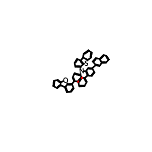 C1=CC2Sc3c(cccc3N(c3ccc(-c4cccc5c4oc4ccccc45)cc3)c3cc(-c4ccc5ccccc5c4)ccc3-c3ccccc3)C2C=C1